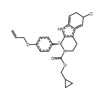 C=CCOc1ccc([C@H]2c3[nH]c4c(c3CCN2C(=O)OCC2CC2)=CC(Cl)CC=4)cc1